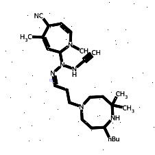 C#CNN(/N=C\CCN1CCC(CCCC)NC(C)(C)CC1)C1C=C(C)C(C#N)C=CN1C